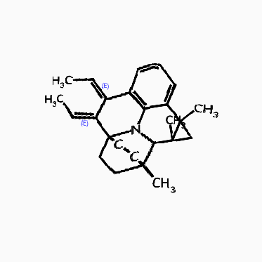 C/C=C1\C(=C/C)C23CCC(C)(CC2)C2N3c3c1cccc3C1(C)CC21C